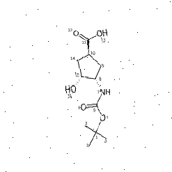 CC(C)(C)OC(=O)N[C@H]1C[C@H](C(=O)O)C[C@H]1O